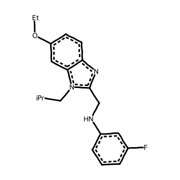 CCOc1ccc2nc(CNc3cccc(F)c3)n(CC(C)C)c2c1